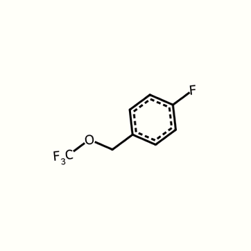 Fc1ccc(COC(F)(F)F)cc1